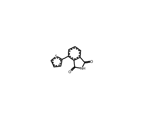 O=C1NC(=O)c2c1cccc2-c1cccs1